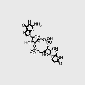 Nc1nc2c(ncn2[C@@H]2O[C@@H]3COP(=O)(O)OC4[C@@H](COP(=O)(O)OC3[C@@H]2O)O[C@@H](n2ccc(=O)[nH]c2=O)[C@H]4O)c(=O)[nH]1